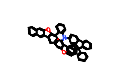 c1ccc(C2(c3ccccc3)c3ccccc3-c3ccc(N(c4ccccc4-c4cccc5c4oc4cc6ccccc6cc45)c4cccc5oc6ccccc6c45)cc32)cc1